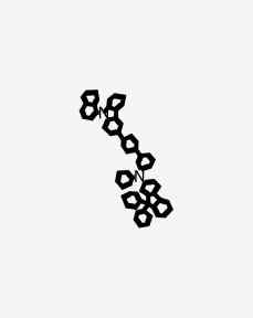 c1ccc(N(c2cccc(-c3ccc(-c4ccc5c(c4)c4ccccc4n5-c4cccc5ccccc45)cc3)c2)c2ccc3c(c2)C(c2ccccc2)(c2ccccc2)c2ccccc2-3)cc1